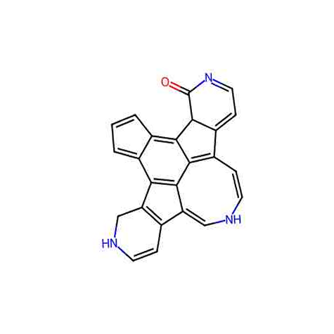 O=C1N=CC=C2c3cc[nH]cc4c5c(c6c-4c3c(c3c6=CC=C3)C12)CNC=C5